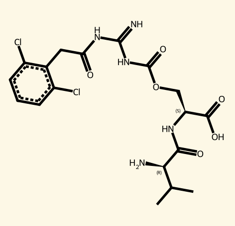 CC(C)[C@@H](N)C(=O)N[C@@H](COC(=O)NC(=N)NC(=O)Cc1c(Cl)cccc1Cl)C(=O)O